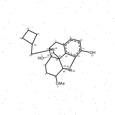 COC1CC[C@@]2(O)C3Cc4ccc(O)c5c4C2(CCN3CC2CCC2)[C@H]1O5